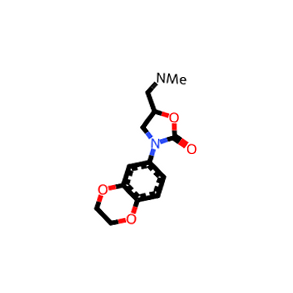 CNCC1CN(c2ccc3c(c2)OCCO3)C(=O)O1